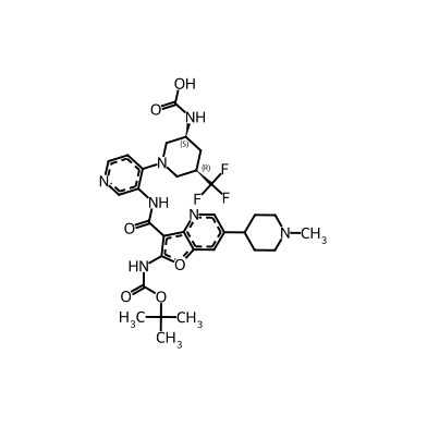 CN1CCC(c2cnc3c(C(=O)Nc4cnccc4N4C[C@@H](NC(=O)O)C[C@@H](C(F)(F)F)C4)c(NC(=O)OC(C)(C)C)oc3c2)CC1